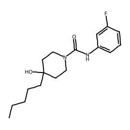 CCCCCC1(O)CCN(C(=O)Nc2cccc(F)c2)CC1